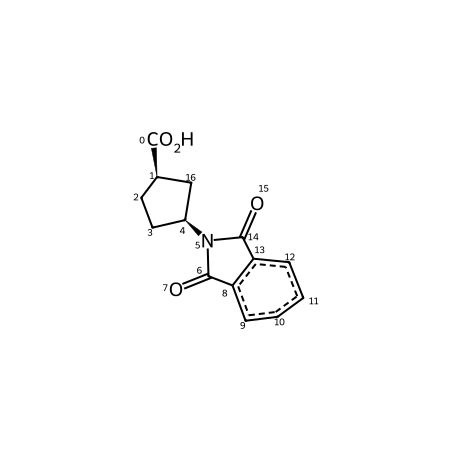 O=C(O)[C@@H]1CC[C@H](N2C(=O)c3ccccc3C2=O)C1